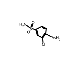 NS(=O)(=O)c1ccc([AsH2])c(Cl)c1